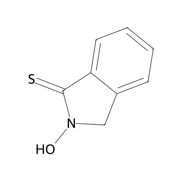 ON1Cc2ccccc2C1=S